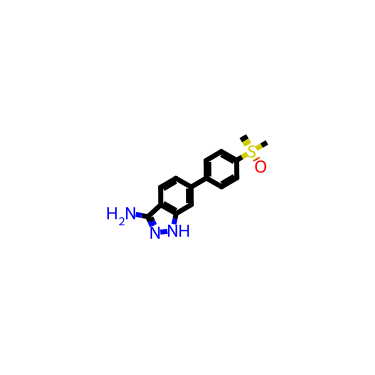 C=S(C)(=O)c1ccc(-c2ccc3c(N)n[nH]c3c2)cc1